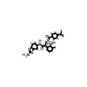 Cc1cccc(C(CNC(=O)c2ccc(C(C)C)cc2)C(=O)Nc2ccc3nc(N)sc3c2)c1O